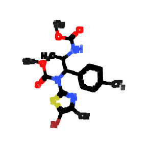 CC(NC(=O)OC(C)(C)C)C(c1ccc(C(F)(F)F)cc1)N(C(=O)OC(C)(C)C)c1nc(C#N)c(Br)s1